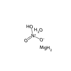 O.O=[N+]([O-])O.[MgH2]